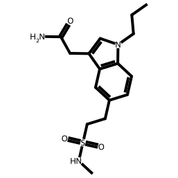 CCCn1cc(CC(N)=O)c2cc(CCS(=O)(=O)NC)ccc21